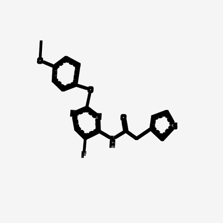 COc1ccc(Oc2ncc(F)c(NC(=O)Cc3ccsc3)n2)cc1